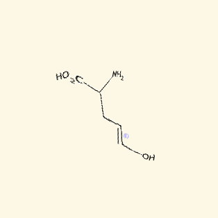 NC(C/C=C/O)C(=O)O